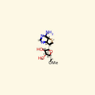 COC[C@H]1O[C@@H](c2csc3c(N)ncnc23)[C@H](O)[C@@H]1O